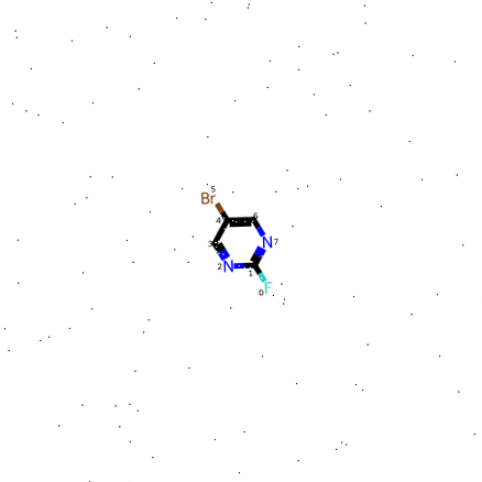 Fc1n[c]c(Br)cn1